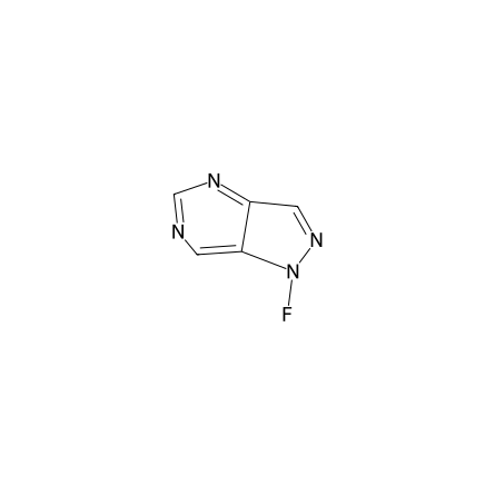 Fn1ncc2ncncc21